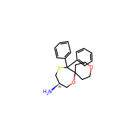 N[C@@H]1COC2(CCOCC2)C(c2ccccc2)(c2ccccc2)SC1